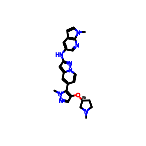 CN1CC[C@H](Oc2cnn(C)c2-c2ccn3nc(Nc4cnc5c(ccn5C)c4)cc3c2)C1